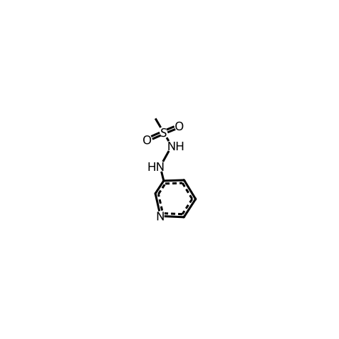 CS(=O)(=O)NNc1cccnc1